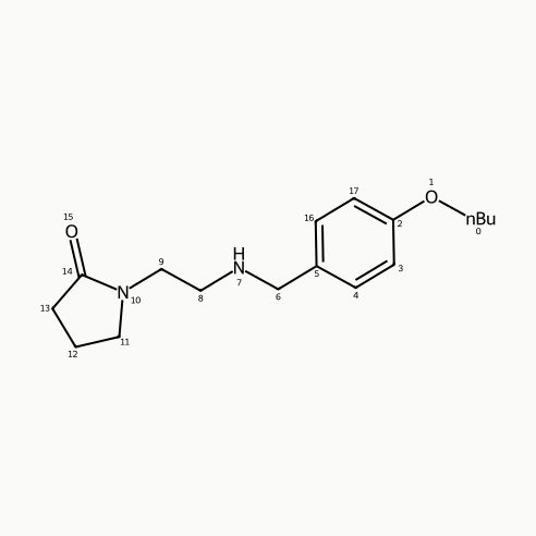 CCCCOc1ccc(CNCCN2CCCC2=O)cc1